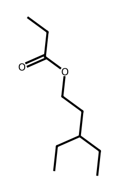 CCC(=O)OCCC(CC)CC